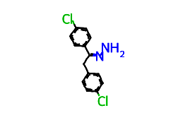 NN=C(Cc1ccc(Cl)cc1)c1ccc(Cl)cc1